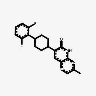 Cc1cnc2cc(C3CCC(c4c(F)cccc4F)CC3)c(=O)[nH]c2n1